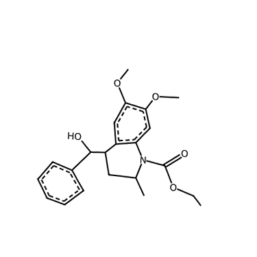 CCOC(=O)N1c2cc(OC)c(OC)cc2C(C(O)c2ccccc2)CC1C